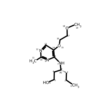 CCC[C@H](CCO)Nc1nc(C)ncc1OCCOC